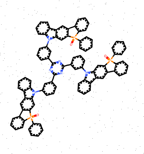 O=P1(c2ccccc2)c2ccccc2-c2cc3c4ccccc4n(-c4cccc(-c5nc(-c6cccc(-n7c8ccccc8c8cc9c(cc87)P(=O)(c7ccccc7)c7ccccc7-9)c6)nc(-c6cccc(-n7c8ccccc8c8cc9c(cc87)P(=O)(c7ccccc7)c7ccccc7-9)c6)n5)c4)c3cc21